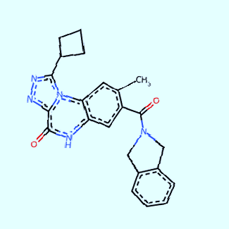 Cc1cc2c(cc1C(=O)N1Cc3ccccc3C1)[nH]c(=O)c1nnc(C3CCC3)n12